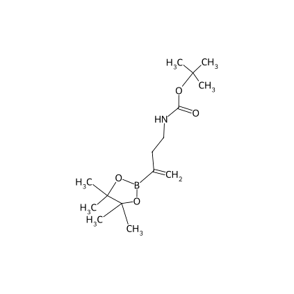 C=C(CCNC(=O)OC(C)(C)C)B1OC(C)(C)C(C)(C)O1